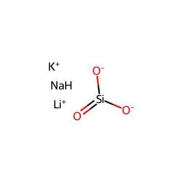 O=[Si]([O-])[O-].[K+].[Li+].[NaH]